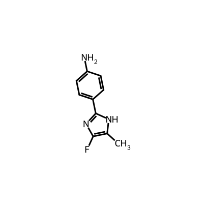 Cc1[nH]c(-c2ccc(N)cc2)nc1F